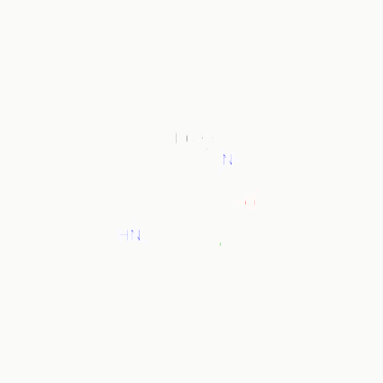 CCOC(=O)N1CCOc2c1cc1c(c2Cl)CCNCC1